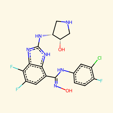 O/N=C(\Nc1ccc(F)c(Cl)c1)c1cc(F)c(F)c2nc(N[C@@H]3CNC[C@@H]3O)[nH]c12